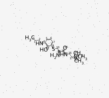 CCCNc1cccc(SC[C@H](N)C(=O)NCC[N+](C)(C)C)c1O